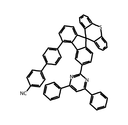 N#Cc1ccc(-c2ccc(-c3cccc4c3-c3cc(-c5nc(-c6ccccc6)cc(-c6ccccc6)n5)ccc3C43c4ccccc4Sc4ccccc43)cc2)cc1